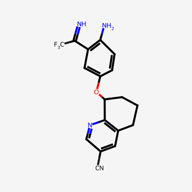 N#Cc1cnc2c(c1)CCCC2Oc1ccc(N)c(C(=N)C(F)(F)F)c1